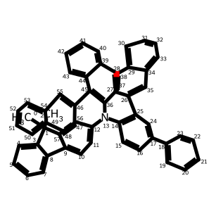 CC1(C)c2ccccc2-c2ccc(N(c3ccc(-c4ccccc4)cc3-c3ccc4ccccc4c3)c3ccc4ccccc4c3-c3ccc4ccccc4c3)cc21